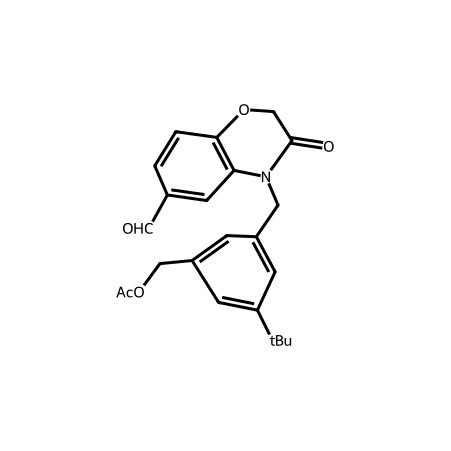 CC(=O)OCc1cc(CN2C(=O)COc3ccc(C=O)cc32)cc(C(C)(C)C)c1